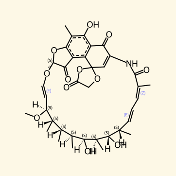 CO[C@H]1/C=C/O[C@@]2(C)Oc3c(C)c(O)c4c(c3C2=O)C2(C=C(NC(=O)/C(C)=C\C=C\[C@H](C)[C@H](O)[C@@H](C)[C@@H](O)[C@@H](C)[C@H](C)[C@@H]1C)C4=O)OCC(=O)O2